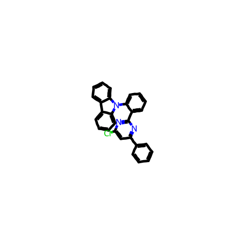 Clc1cc(-c2ccccc2)nc(-c2ccccc2-n2c3ccccc3c3ccccc32)n1